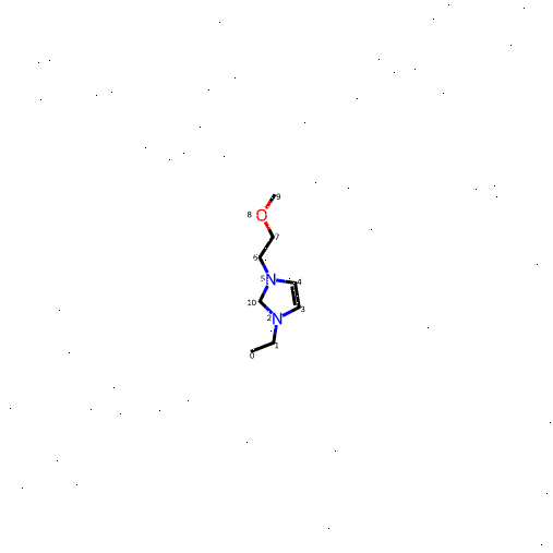 CCN1C=CN(CCOC)C1